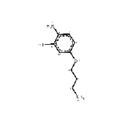 Bc1ccc(OCCCC)cc1F